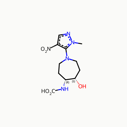 Cn1ncc([N+](=O)[O-])c1N1CC[C@H](O)[C@H](NC(=O)O)CC1